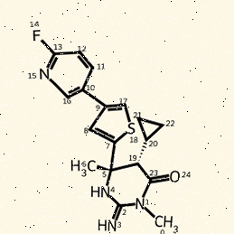 CN1C(=N)N[C@](C)(c2cc(-c3ccc(F)nc3)cs2)[C@H](C2CC2)C1=O